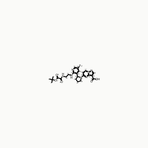 CC(C)(C)OC(=O)C(=O)NCCNc1ncc(F)cc1C1CCCN1c1ccn2ncc(C(=O)O)c2n1